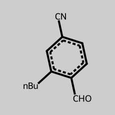 CCCCc1cc(C#N)ccc1C=O